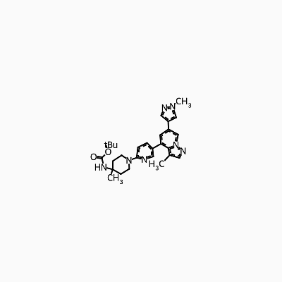 Cc1cnn2cc(-c3cnn(C)c3)cc(-c3ccc(N4CCC(C)(NC(=O)OC(C)(C)C)CC4)nc3)c12